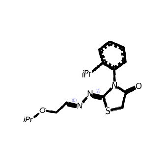 CC(C)OC/C=N/N=C1\SCC(=O)N1c1ccccc1C(C)C